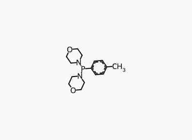 Cc1ccc(P(N2CCOCC2)N2CCOCC2)cc1